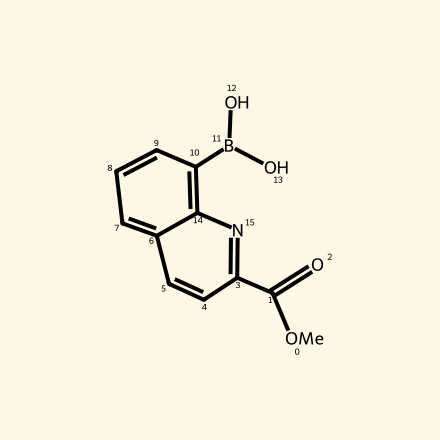 COC(=O)c1ccc2cccc(B(O)O)c2n1